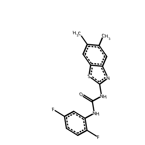 Cc1cc2nc(NC(=O)Nc3cc(F)ccc3F)sc2cc1C